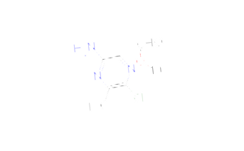 CCOC=O.Nc1cnc(Cl)c(C(F)(F)F)n1